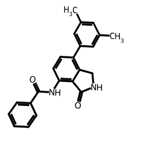 Cc1cc(C)cc(-c2ccc(NC(=O)c3ccccc3)c3c2CNC3=O)c1